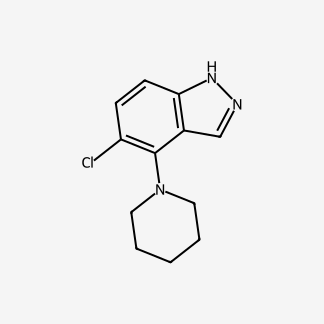 Clc1ccc2[nH]ncc2c1N1CCCCC1